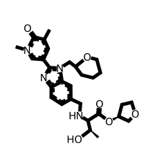 Cc1cc(-c2nc3ccc(CNC(C(=O)O[C@H]4CCOC4)[C@@H](C)O)cc3n2CC2CCCCO2)cn(C)c1=O